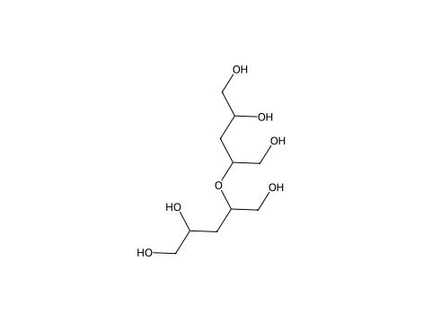 OCC(O)CC(CO)OC(CO)CC(O)CO